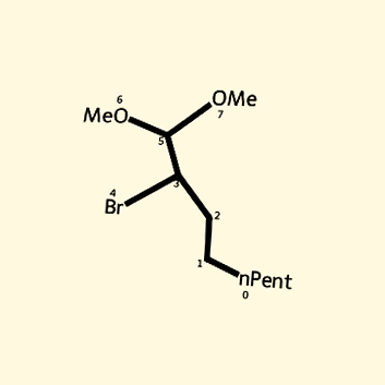 CCCCCCCC(Br)C(OC)OC